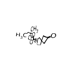 CCC(C)(C)OC(=O)N1CCC2(CC(=O)C2)C1